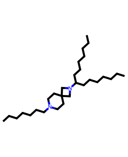 CCCCCCCC(CCCCCCC)N1CC2(CCN(CCCCCCC)CC2)C1